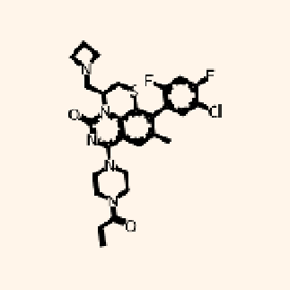 C=CC(=O)N1CCN(c2nc(=O)n3c4c(c(-c5cc(Cl)c(F)cc5F)c(C)cc24)SCC3CN2CCC2)CC1